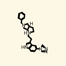 c1ccc(CN2C[C@H]3CCN(CCc4c[nH]c5ccc(-n6cnnc6)cc45)[C@H]3C2)cc1